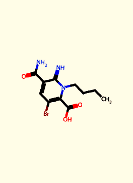 CCCCn1c(C(=O)O)c(Br)cc(C(N)=O)c1=N